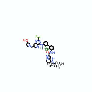 CC(C)(N[C@H]1CCCn2nc(C(=O)Nc3cccc(-c4cccc(Nc5nc(C(F)F)nc6cc(CN7CC[C@@H](O)C7)cnc56)c4Cl)c3Cl)cc21)C(=O)O